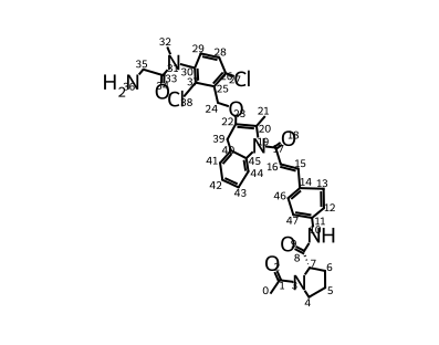 CC(=O)N1CCC[C@H]1C(=O)Nc1ccc(C=CC(=O)N2C(C)=C(OCc3c(Cl)ccc(N(C)C(=O)CN)c3Cl)Cc3ccccc32)cc1